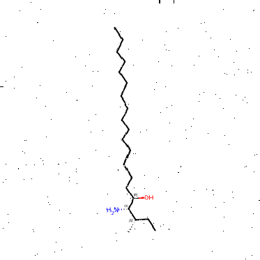 CCCCCCCCCCCCCCC[C@@H](O)[C@@H](N)[C@@H](C)CC